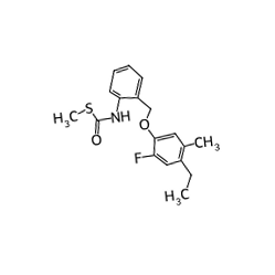 CCc1cc(F)c(OCc2ccccc2NC(=O)SC)cc1C